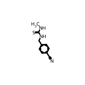 CNC(=S)NCc1ccc(C#N)cc1